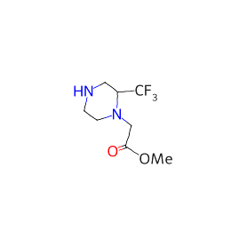 COC(=O)CN1CCNCC1C(F)(F)F